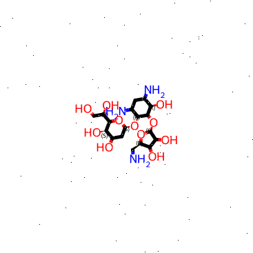 NC[C@H]1O[C@@H](OC2[C@H](O)C(N)CC(N)[C@H]2O[C@@H]2CC(O)[C@H](O)C([C@H](O)CO)O2)C(O)C1O